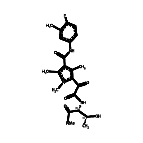 CNC(=O)[C@H](NC(=O)C(=O)c1c(C)c(C(=O)Nc2ccc(F)c(C)c2)c(C)n1C)[C@@H](C)O